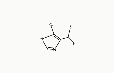 FC(F)C1=C(Cl)[N][C]=N1